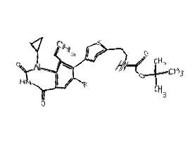 Cc1c(-c2csc(CNC(=O)OC(C)(C)C)c2)c(F)cc2c(=O)[nH]c(=O)n(C3CC3)c12